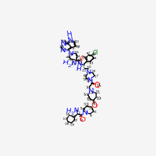 N[C@@H](C(=O)N1CCC(OC2CCN(CC(=O)N3CCN(CC[C@H](NC(=O)C4(N)CCN(c5ncnc6[nH]ccc56)CC4)c4ccc(Cl)cc4)CC3)CC2)CC1)C1CCCCC1